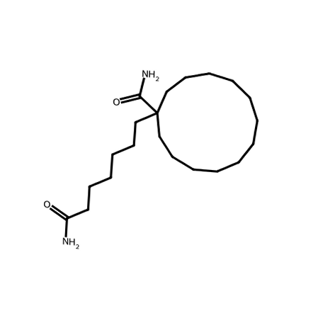 NC(=O)CCCCCCC1(C(N)=O)CCCCCCCCCCCC1